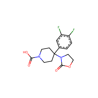 O=C(O)N1CCC(c2ccc(F)c(F)c2)(N2CCOC2=O)CC1